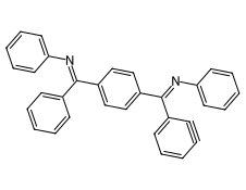 c1cccc(/C(=N\c2ccccc2)c2ccc(/C(=N/c3ccccc3)c3ccccc3)cc2)c#1